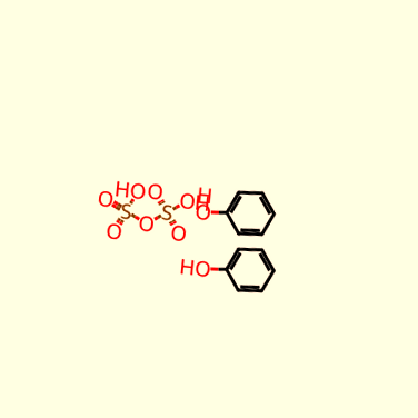 O=S(=O)(O)OS(=O)(=O)O.Oc1ccccc1.Oc1ccccc1